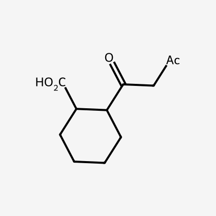 CC(=O)CC(=O)C1CCCCC1C(=O)O